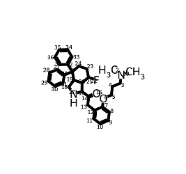 CN(C)CCCOc1ccccc1CC(=O)C1NCC2C1C(F)CCC2(c1ccccc1)c1ccccc1